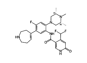 C[C@@H]1CN(c2cc(F)c(C3=CCCNCC3)cc2NC(=O)c2c[nH]c(=O)cc2C(F)F)C[C@H](C)N1C